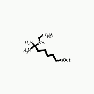 CCCCCCCCCCCCCC(N)(N)NCC(=O)O.Cl